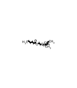 CCCCCC(=O)OCCOOC(C)(C)CCC